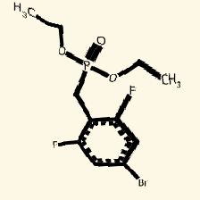 CCOP(=O)(Cc1c(F)cc(Br)cc1F)OCC